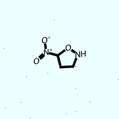 O=[N+]([O-])C1C[CH]NO1